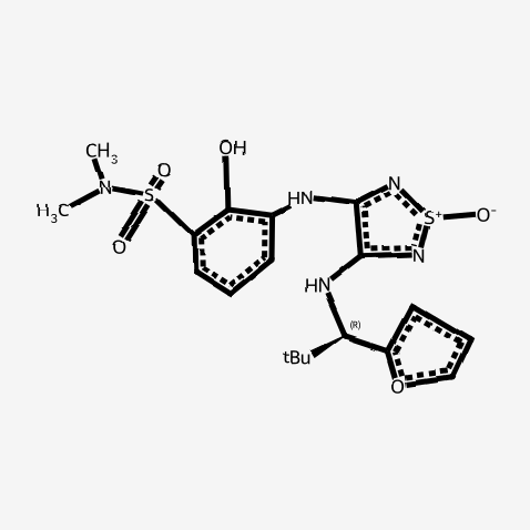 CN(C)S(=O)(=O)c1cccc(Nc2n[s+]([O-])nc2N[C@@H](c2ccco2)C(C)(C)C)c1O